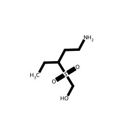 CCC(CCN)S(=O)(=O)CO